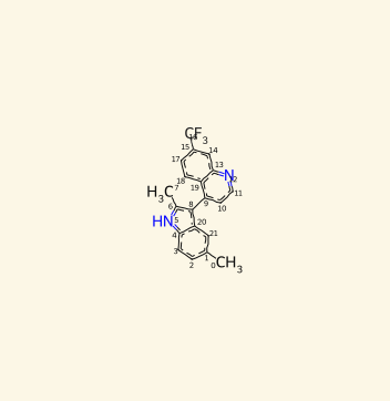 Cc1ccc2[nH]c(C)c(-c3ccnc4cc(C(F)(F)F)ccc34)c2c1